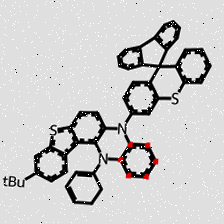 CC(C)(C)c1ccc2c(c1)sc1ccc(N(c3ccccc3)c3ccc4c(c3)Sc3ccccc3C43c4ccccc4-c4ccccc43)c(N(C3=CC=CCC3)c3ccccc3)c12